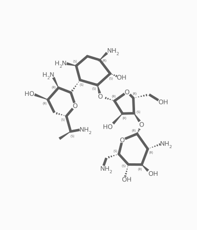 C[C@H](N)[C@@H]1C[C@@H](O)[C@@H](N)C([C@H]2[C@H](O[C@@H]3O[C@H](CO)[C@@H](O[C@H]4O[C@@H](CN)[C@@H](O)[C@H](O)[C@H]4N)[C@H]3O)[C@@H](O)[C@H](N)C[C@@H]2N)O1